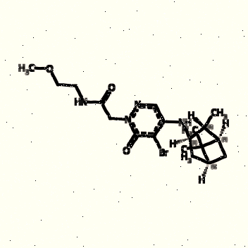 COCCNC(=O)Cn1ncc(N[C@@H]2C[C@@H]3C[C@H]([C@H]2C)C3(C)C)c(Br)c1=O